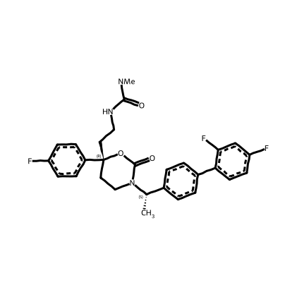 CNC(=O)NCC[C@]1(c2ccc(F)cc2)CCN([C@@H](C)c2ccc(-c3ccc(F)cc3F)cc2)C(=O)O1